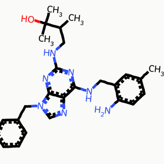 Cc1ccc(N)c(CNc2nc(NCC(C)C(C)(C)O)nc3c2ncn3Cc2ccccc2)c1